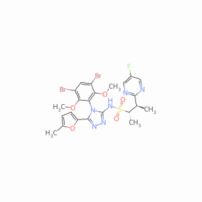 COc1c(Br)cc(Br)c(OC)c1-n1c(NS(=O)(=O)[C@@H](C)[C@H](C)c2ncc(F)cn2)nnc1-c1ccc(C)o1